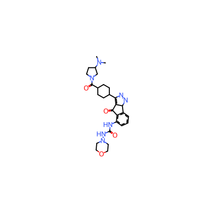 CN(C)C1CCN(C(=O)C2CCC(C3=C4C(=O)c5c(NC(=O)NN6CCOCC6)cccc5C4N=N3)CC2)C1